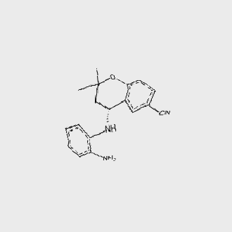 CC1(C)C[C@@H](Nc2ccccc2N)c2cc(C#N)ccc2O1